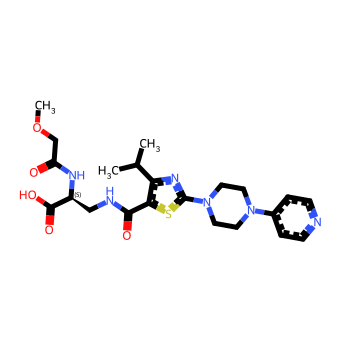 COCC(=O)N[C@@H](CNC(=O)c1sc(N2CCN(c3ccncc3)CC2)nc1C(C)C)C(=O)O